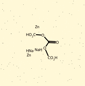 O=C(O)OC(=O)OC(=O)O.[NaH].[NaH].[Zn].[Zn]